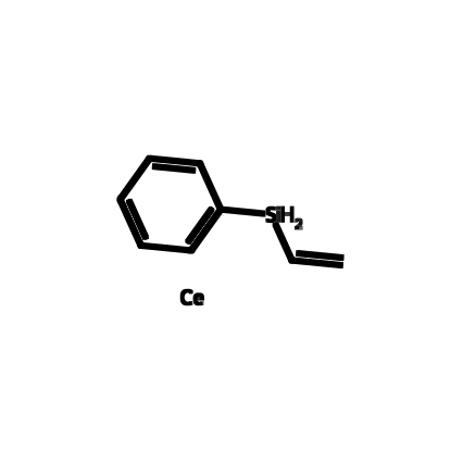 C=C[SiH2]c1ccccc1.[Ce]